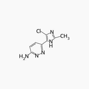 Cc1nc(Cl)c(-c2ccc(N)nn2)[nH]1